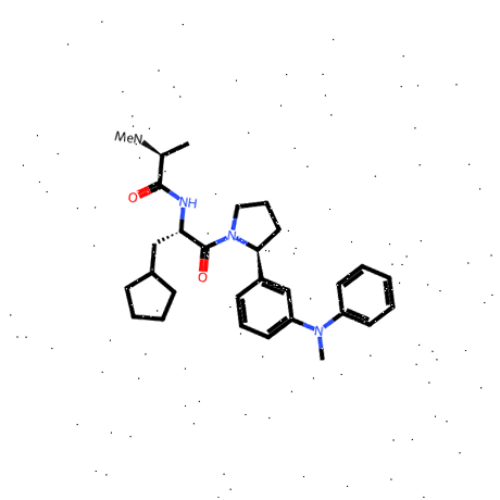 CN[C@@H](C)C(=O)N[C@@H](CC1CCCC1)C(=O)N1CCC[C@H]1c1cccc(N(C)c2ccccc2)c1